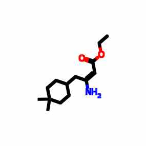 CCOC(=O)/C=C(/N)CC1CCC(C)(C)CC1